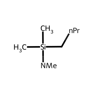 CCCC[Si](C)(C)NC